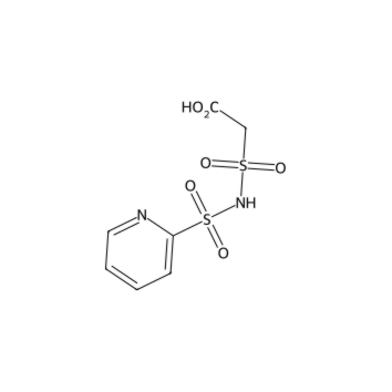 O=C(O)CS(=O)(=O)NS(=O)(=O)c1ccccn1